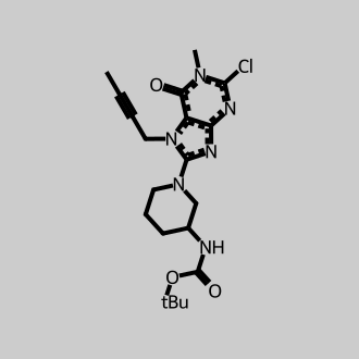 CC#CCn1c(N2CCCC(NC(=O)OC(C)(C)C)C2)nc2nc(Cl)n(C)c(=O)c21